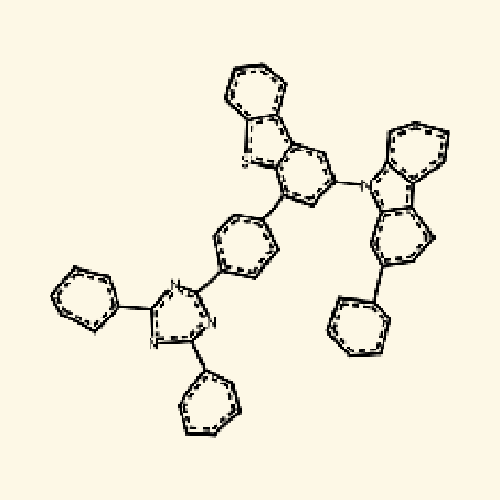 c1ccc(-c2ccc3c4ccccc4n(-c4cc(-c5ccc(-c6nc(-c7ccccc7)nc(-c7ccccc7)n6)cc5)c5sc6ccccc6c5c4)c3c2)cc1